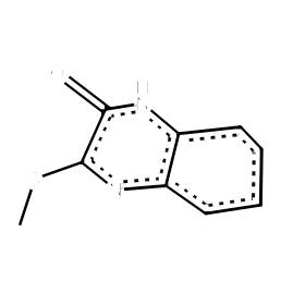 CSc1nc2ccccc2[nH]c1=O